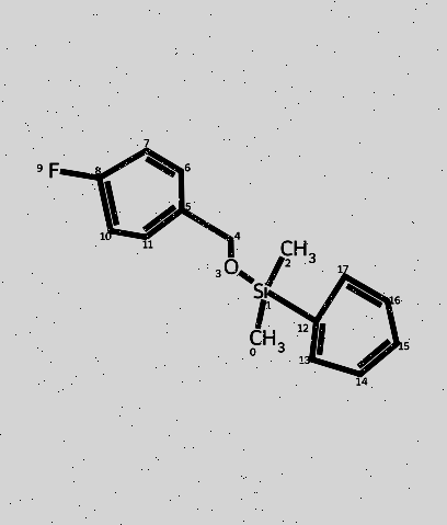 C[Si](C)(OCc1ccc(F)cc1)c1ccccc1